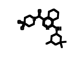 CC1CC(Nc2ncc(C(=O)N3CCS(=O)(=O)CC3)c3c2CCCC3)CC(C)(C)C1